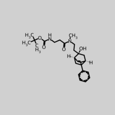 CN(CC[C@]1(O)C[C@H]2CC[C@@H]1C=C2c1ccccc1)C(=O)CCNC(=O)OC(C)(C)C